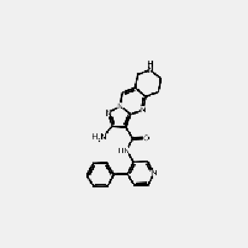 Nc1nn2cc3c(nc2c1C(=O)Nc1cnccc1-c1ccccc1)CCNC3